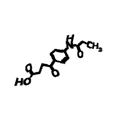 CCC(=O)Nc1ccc(C(=O)CCC(=O)O)cc1